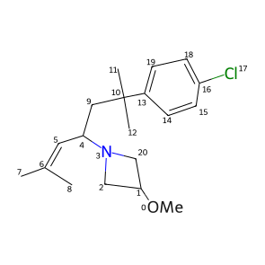 COC1CN(C(C=C(C)C)CC(C)(C)c2ccc(Cl)cc2)C1